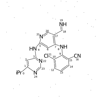 CC(C)c1cc(Nc2cc(Nc3c(Cl)cccc3C#N)c(C=N)cn2)ncn1